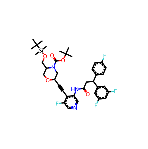 CC(C)(C)OC(=O)N1CC(C#Cc2c(F)cncc2NC(=O)CC(c2ccc(F)cc2)c2cc(F)cc(F)c2)OCC1CO[Si](C)(C)C(C)(C)C